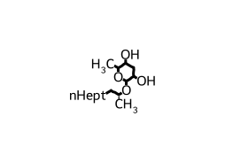 CCCCCCCC[C@@H](C)OC1OC(C)C(O)CC1O